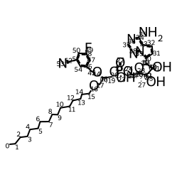 CCCCCCCCCCCCCCCCOC[C@H](COP(=O)(O)OC[C@@]1(C)O[C@@H](c2ccc3c(N)ncnn23)[C@H](O)[C@@H]1O)OCc1cc(F)cc(C#N)c1